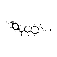 O=C(O)NC1CCC(NC(=O)Nc2ccc(C(F)(F)F)cc2)CC1